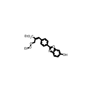 CCOOC/C(=C\c1ccc(-c2nc3ccc(O)cc3o2)cc1)C(=O)OCC